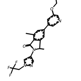 CCOc1cncc(-c2cc(C)c3c(c2)C(C)N(c2cnn(CC(F)(F)F)c2)C3=O)c1